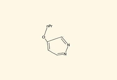 CCCOc1[c]nncc1